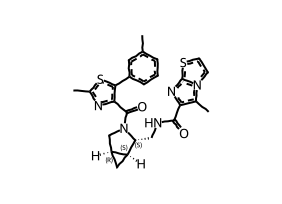 Cc1cccc(-c2sc(C)nc2C(=O)N2C[C@@H]3C[C@@H]3[C@H]2CNC(=O)c2nc3sccn3c2C)c1